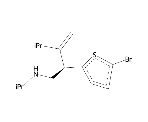 C=C(C(C)C)[C@H](CNC(C)C)c1ccc(Br)s1